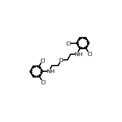 Clc1cccc(Cl)c1NCCOCCNc1c(Cl)cccc1Cl